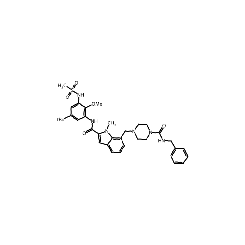 COc1c(NC(=O)c2cc3cccc(CN4CCN(C(=O)NCc5ccccc5)CC4)c3n2C)cc(C(C)(C)C)cc1NS(C)(=O)=O